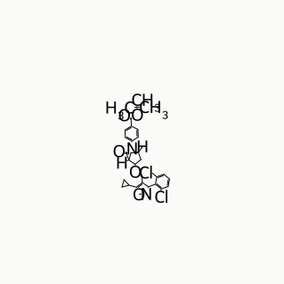 CC(C)(C)OC(=O)c1ccc(N2C(=O)[C@@H]3C[C@H]2C[C@H]3OCc2c(-c3c(Cl)cccc3Cl)noc2C2CC2)cc1